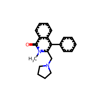 Cn1c(CN2CCCC2)c(-c2ccccc2)c2ccccc2c1=O